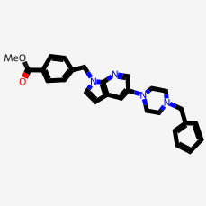 COC(=O)c1ccc(Cn2ccc3cc(N4CCN(Cc5ccccc5)CC4)cnc32)cc1